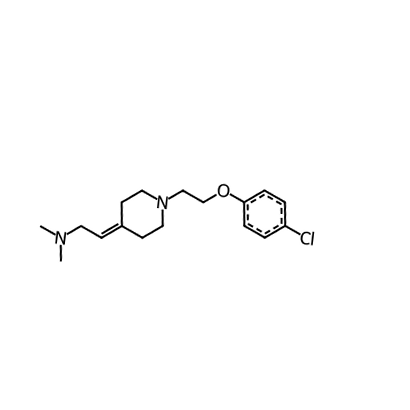 CN(C)CC=C1CCN(CCOc2ccc(Cl)cc2)CC1